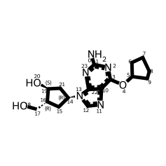 Nc1nc(OC2CCCC2)c2ncn([C@@H]3C[C@H](CO)[C@@H](O)C3)c2n1